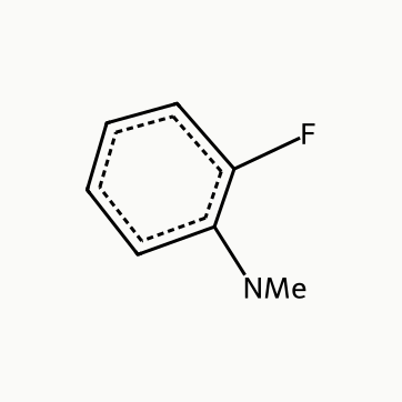 CNc1ccccc1F